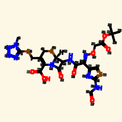 Cn1nnnc1SCC1=C(C(=O)O)N2C(=O)C(NC(=O)C(=NOCC(=O)OC(C)(C)C)c3csc(NC=O)n3)[C@@H]2SC1